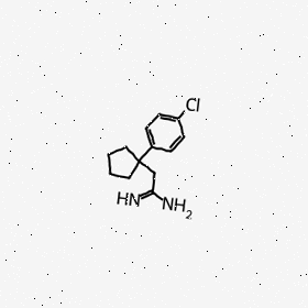 N=C(N)CC1(c2ccc(Cl)cc2)CCCC1